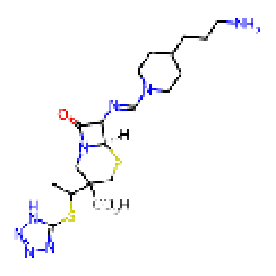 CC(Sc1nnn[nH]1)C1(C(=O)O)CS[C@@H]2C(N=CN3CCC(CCCN)CC3)C(=O)N2C1